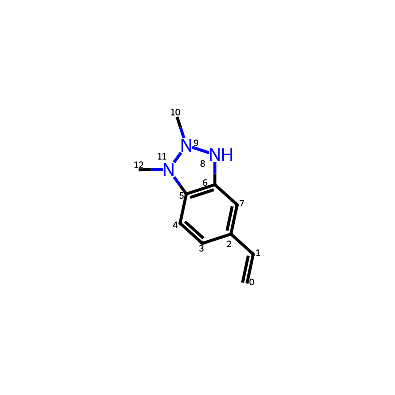 C=Cc1ccc2c(c1)NN(C)N2C